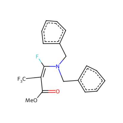 COC(=O)C(=C(F)N(Cc1ccccc1)Cc1ccccc1)C(F)(F)F